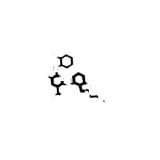 COCCn1cc2c(Nc3nc(NC4CCCCC4N)c(F)cc3C(N)=O)cccc2n1